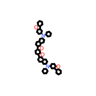 c1ccc(N(c2ccc3c(ccc4c5ccc6c7ccc8cc(N(c9ccccc9)c9ccc%10oc%11ccccc%11c%10c9)ccc8c7oc6c5oc34)c2)c2ccc3oc4ccccc4c3c2)cc1